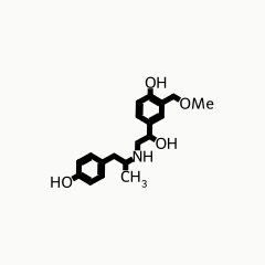 COCc1cc(C(O)CNC(C)Cc2ccc(O)cc2)ccc1O